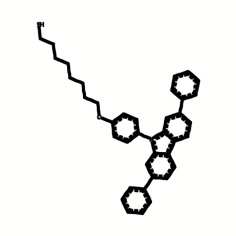 SCCCCCCCCOc1ccc(-n2c3cc(-c4ccccc4)ccc3c3ccc(-c4ccccc4)cc32)cc1